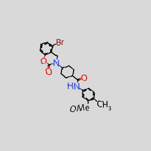 COc1cc(NC(=O)C2CCC(N3Cc4c(Br)cccc4OC3=O)CC2)ccc1C